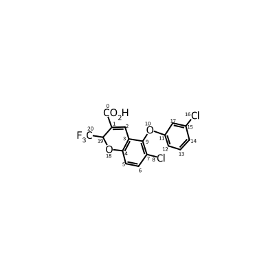 O=C(O)C1=Cc2c(ccc(Cl)c2Oc2cccc(Cl)c2)OC1C(F)(F)F